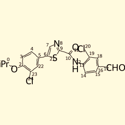 CC(C)Oc1ccc(-c2cnc(C(=O)Nc3ccc(C=O)cc3Cl)s2)cc1Cl